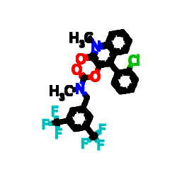 CN(Cc1cc(C(F)(F)F)cc(C(F)(F)F)c1)C(=O)Oc1c(-c2ccccc2Cl)c2ccccc2n(C)c1=O